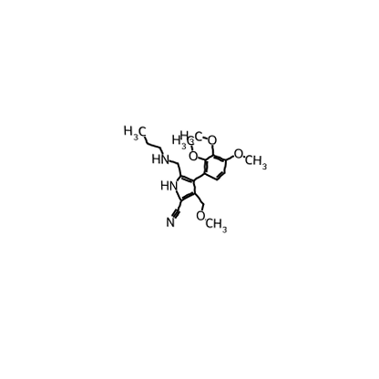 CCCNCc1[nH]c(C#N)c(COC)c1-c1ccc(OC)c(OC)c1OC